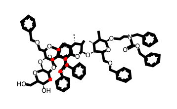 CC1[C@@H](O[C@H]2C(COCc3ccccc3)O[C@H](OCCN(Cc3ccccc3)C(=O)OCc3ccccc3)C(C)[C@H]2C)OC(COCc2ccccc2)[C@@H](O[C@@H]2OC(COCc3ccccc3)[C@@H](O[C@@H]3OC(CO)[C@@H](O)[C@H](C)C3OC(=O)c3ccccc3)[C@H](C)C2OC(=O)c2ccccc2)[C@@H]1C